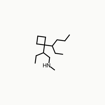 CCCC(CC)C1(C(CC)CNC)CCC1